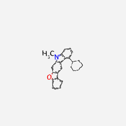 Cn1c2cc3oc4ccccc4c3cc2c2c(C3CCCCC3)cccc21